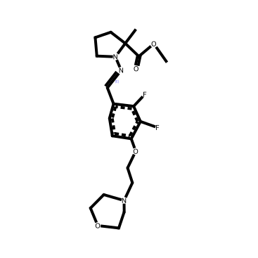 COC(=O)C1(C)CCCN1/N=C/c1ccc(OCCN2CCOCC2)c(F)c1F